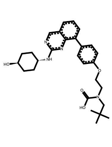 CC(C)(C)CN(CCOc1ccc(-c2cccc3cnc(N[C@H]4CC[C@H](O)CC4)nc23)cc1)C(=O)O